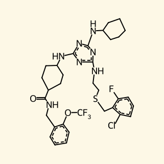 O=C(NCc1ccccc1OC(F)(F)F)C1CCC(Nc2nc(NCCSCc3c(F)cccc3Cl)nc(NC3CCCCC3)n2)CC1